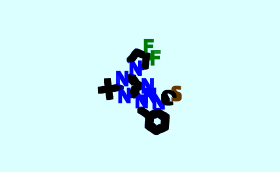 CC(C)(C)c1nc(N2CCC(F)(F)C2)c2nnn(Cc3ccccc3N=C=S)c2n1